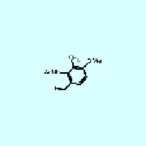 COc1ccc(CI)c(NC(C)=O)c1C